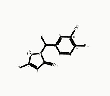 Cc1cc(=O)n(C(C)c2ccc(F)c(Cl)c2)[nH]1